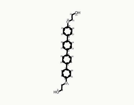 OCCOc1ccc(-c2ccc(-c3ccc(-c4ccc(OCCO)cc4)cc3)cc2)cc1